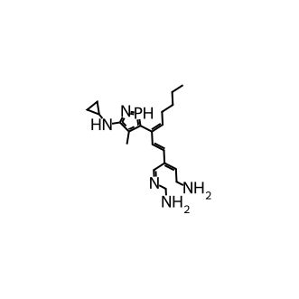 CCCC/C=C(/C=C/C(/C=N\CN)=C/CN)c1[pH]nc(NC2CC2)c1C